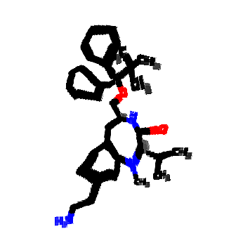 CC(C)[C@H]1C(=O)N[C@H](CO[Si](c2ccccc2)(c2ccccc2)C(C)(C)C)Cc2ccc(CCN)cc2N1C